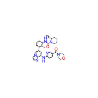 CCC1CCCCN1C(=O)Nc1cccc(-c2cc(Nc3ccc(C(=O)N4CCOCC4)cn3)c3nccn3c2)c1C